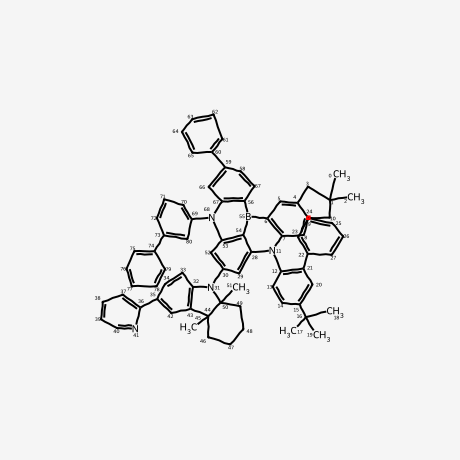 CC1(C)Cc2cc3c(cc2C1)N(c1ccc(C(C)(C)C)cc1-c1ccccc1)c1cc(N2c4ccc(-c5ccccn5)cc4C4(C)CCCCC24C)cc2c1B3c1ccc(-c3ccccc3)cc1N2c1cccc(-c2ccccc2)c1